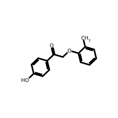 Cc1ccccc1OCC(=O)c1ccc(O)cc1